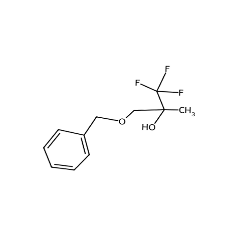 CC(O)(COCc1ccccc1)C(F)(F)F